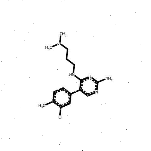 Cc1ccc(-c2cnc(N)nc2NCCCN(C)C)cc1Cl